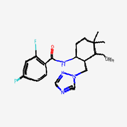 COC1C(Cn2cncn2)C(NC(=O)c2ccc(F)cc2F)CCC1(C)C